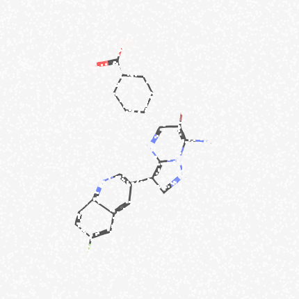 Nc1c(Br)c([C@H]2CC[C@H](C(=O)O)CC2)nc2c(-c3cnc4ccc(F)cc4c3)cnn12